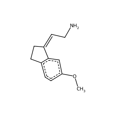 COc1ccc2c(c1)/C(=C\CN)CC2